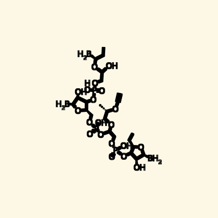 B[C@@H]1O[C@H](CC)C(OP(=O)(O)OCC(OC[C@H](C)OC#C)OP(=O)(O)OC[C@H]2O[C@@H](B)[C@@H](O)C2OP(=O)(O)OCC(O)O[C@@H](B)CC)[C@@H]1O